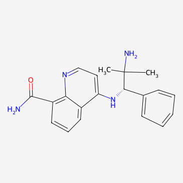 CC(C)(N)[C@@H](Nc1ccnc2c(C(N)=O)cccc12)c1ccccc1